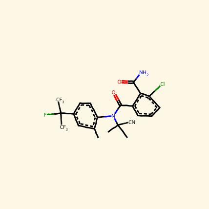 Cc1cc(C(F)(C(F)(F)F)C(F)(F)F)ccc1N(C(=O)c1cccc(Cl)c1C(N)=O)C(C)(C)C#N